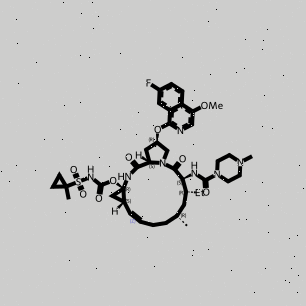 CC[C@@H]1C[C@H](C)CC/C=C\[C@@H]2C[C@]2(OC(=O)NS(=O)(=O)C2(C)CC2)NC(=O)[C@@H]2C[C@@H](Oc3ncc(OC)c4ccc(F)cc34)CN2C(=O)[C@H]1NC(=O)N1CCN(C)CC1